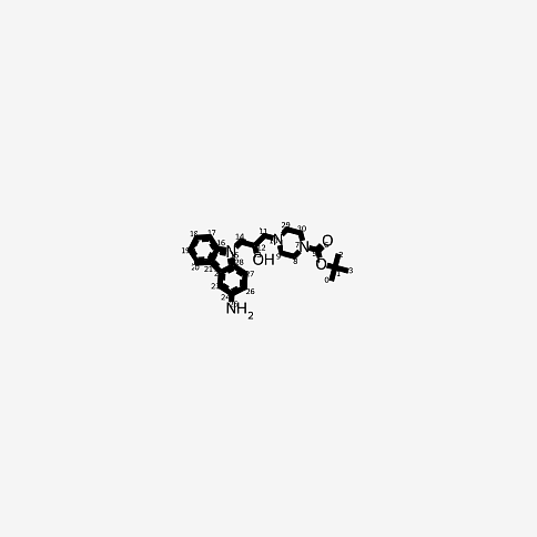 CC(C)(C)OC(=O)N1CCN(CC(O)Cn2c3ccccc3c3cc(N)ccc32)CC1